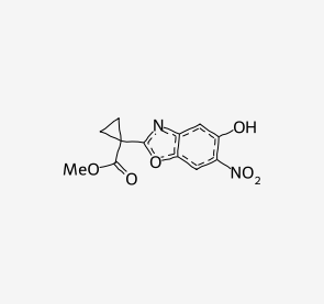 COC(=O)C1(c2nc3cc(O)c([N+](=O)[O-])cc3o2)CC1